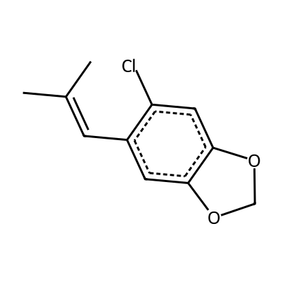 CC(C)=Cc1cc2c(cc1Cl)OCO2